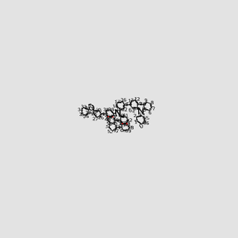 c1ccc(-n2c3ccccc3c3ccc(-c4cccc(N(c5ccc(-c6ccc7c(c6)oc6ccccc67)cc5)c5ccccc5-c5cccc6cccc(C7CCCCC7)c56)c4)cc32)cc1